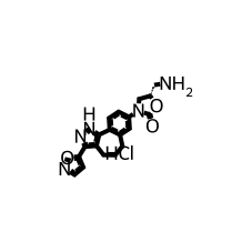 Cl.NC[C@H]1CN(c2ccc3c(c2)CCCc2c(-c4ccno4)n[nH]c2-3)C(=O)O1